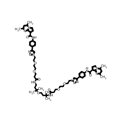 Cc1cc(C)n2ccc(C(=O)Nc3ccc(-c4cn(CCOCCOCCC(=O)NCCC(C)(C)OCCC(C)(C)NC(=O)CCOCCOCCn5cc(-c6ccc(NC(=O)c7ccn8c(C)cc(C)nc78)cc6)nn5)nn4)cc3)c2n1